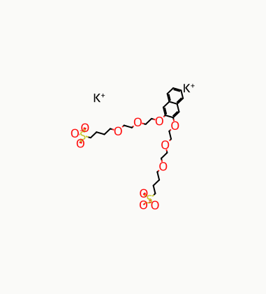 O=S(=O)([O-])CCCCOCCOCCOc1cc2ccccc2cc1OCCOCCOCCCCS(=O)(=O)[O-].[K+].[K+]